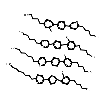 CCCCCCCCc1ccc(-c2ccc(-c3ccc(CCCCC)cc3F)cc2)cn1.CCCCCCCc1ccc(-c2ccc(-c3ccc(CCCCC)cc3F)cc2)cn1.CCCCCCc1ccc(-c2ccc(-c3ccc(CCCCC)cc3F)cc2)cn1.CCCCCc1ccc(-c2ccc(-c3ccc(CCCCC)nc3)cc2)c(F)c1